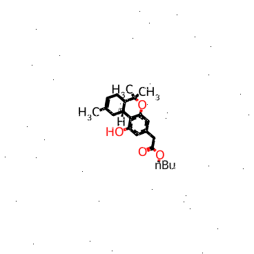 CCCCOC(=O)Cc1cc(O)c2c(c1)OC(C)(C)C1CC=C(C)C[C@@H]21